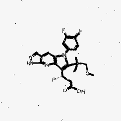 COCC(C)(C)c1c([C@@H](F)CC(=O)O)c2nc3[nH]ncc3cc2n1-c1ccc(F)c(F)c1